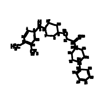 Cc1ccc(NC2CCC(OCC(=S)N3CCN(c4ccccc4)CC3)CC2)cc1C(F)(F)F